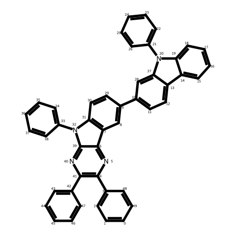 c1ccc(-c2nc3c4cc(-c5ccc6c7ccccc7n(-c7ccccc7)c6c5)ccc4n(-c4ccccc4)c3nc2-c2ccccc2)cc1